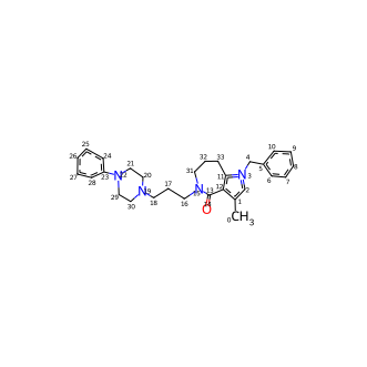 Cc1cn(Cc2ccccc2)c2c1C(=O)N(CCCN1CCN(c3ccccc3)CC1)CCC2